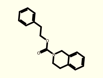 O=C(OCCc1ccccc1)N1CCc2ccccc2C1